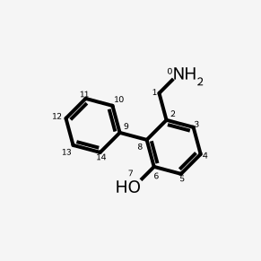 NCc1cccc(O)c1-c1ccccc1